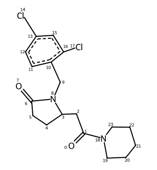 O=C(CC1CCC(=O)N1Cc1ccc(Cl)cc1Cl)N1CCCCC1